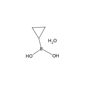 O.OB(O)C1CC1